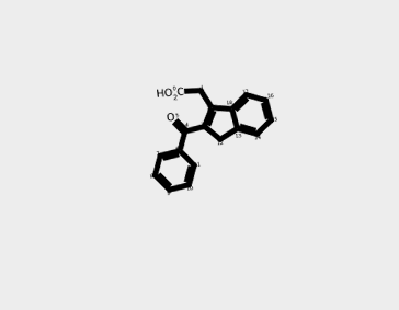 O=C(O)CC1=C(C(=O)c2ccccc2)Cc2ccccc21